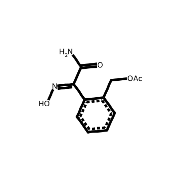 CC(=O)OCc1ccccc1/C(=N\O)C(N)=O